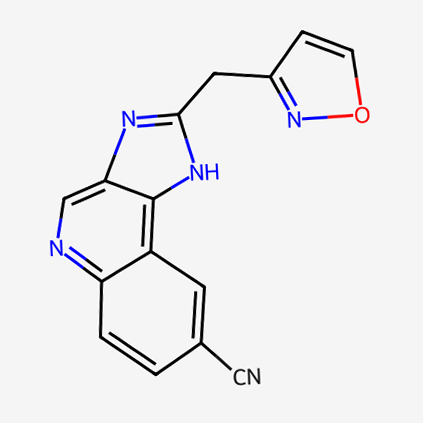 N#Cc1ccc2ncc3nc(Cc4ccon4)[nH]c3c2c1